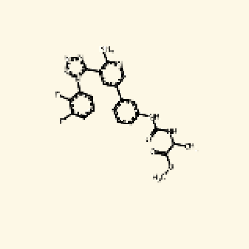 COC(=O)C(C)NC(=O)Nc1cccc(-c2cnc(N)c(-c3nnnn3-c3cccc(F)c3F)c2)c1